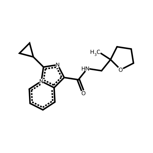 CC1(CNC(=O)c2nc(C3CC3)n3ccccc23)CCCO1